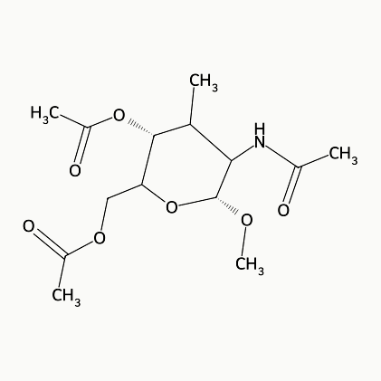 CO[C@@H]1OC(COC(C)=O)[C@H](OC(C)=O)C(C)C1NC(C)=O